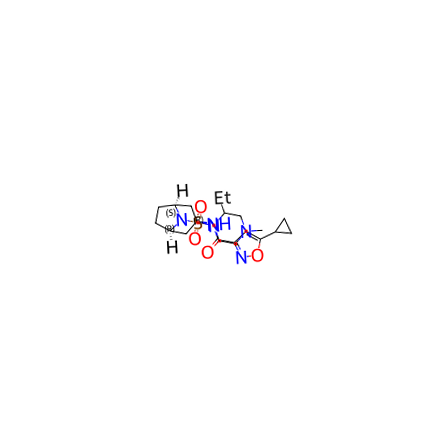 CCC1CN(C)CCN1S(=O)(=O)N1[C@@H]2CC[C@H]1C[C@@H](NC(=O)c1cc(C3CC3)on1)C2